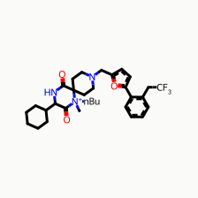 CCCC[N+]1(C)C(=O)C(C2CCCCC2)NC(=O)C12CCN(Cc1ccc(-c3ccccc3CC(F)(F)F)o1)CC2